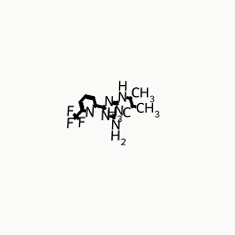 CC(C)C(C)Nc1nc(N)nc(-c2cccc(C(F)(F)F)n2)n1